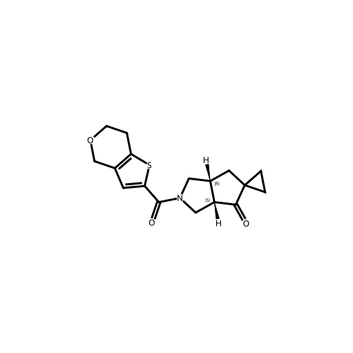 O=C(c1cc2c(s1)CCOC2)N1C[C@@H]2CC3(CC3)C(=O)[C@@H]2C1